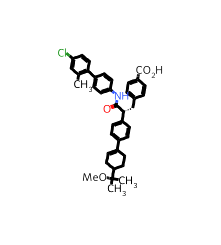 COC(C)(C)C1CC=C(c2ccc([C@@H](Cc3ccc(C(=O)O)cc3)C(=O)Nc3ccc(-c4ccc(Cl)cc4C)cc3)cc2)CC1